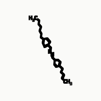 CC=CCCc1ccc(C=NN=Cc2ccc(CCCCCCC)cc2)cc1